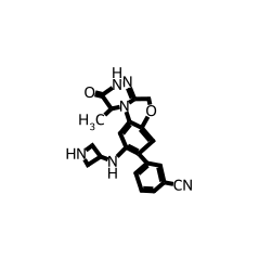 CC1C(=O)NN=C2COc3cc(-c4cccc(C#N)c4)c(NC4CNC4)cc3N21